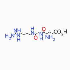 N=C(N)NCCCCNC(=O)CNC(=O)[C@@H](N)CCC(=O)O